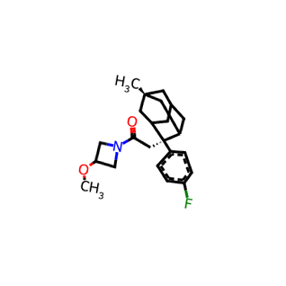 COC1CN(C(=O)C[C@]2(c3ccc(F)cc3)C3CC4CC2C[C@@](C)(C4)C3)C1